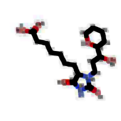 O=C(O)CCCCCCC1C(=O)NC(=O)N1CCC(O)C1CCCCO1